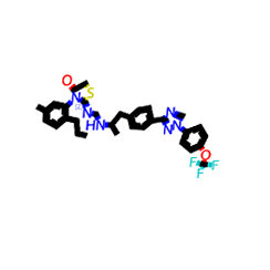 CCCc1ccc(C)cc1N1C(=O)CS/C1=N\CNC(C)Cc1ccc(-c2ncn(-c3ccc(OC(F)(F)F)cc3)n2)cc1